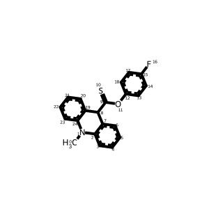 CN1c2ccccc2C(C(=S)Oc2ccc(F)cc2)c2ccccc21